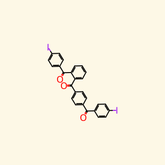 O=C(c1ccc(I)cc1)c1ccc(C(=O)c2ccccc2C(=O)c2ccc(I)cc2)cc1